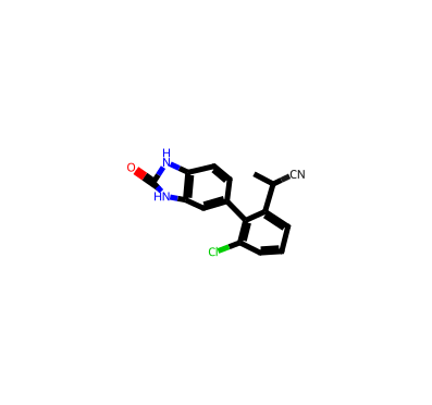 CC(C#N)c1cccc(Cl)c1-c1ccc2[nH]c(=O)[nH]c2c1